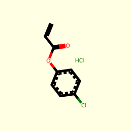 C=CC(=O)Oc1ccc(Cl)cc1.Cl